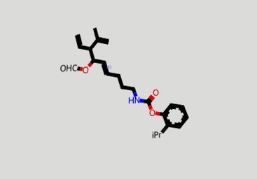 C=CC(C(=C)C)C(/C=C/CCCNC(=O)Oc1ccccc1C(C)C)OC=O